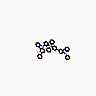 c1ccc(-n2c3ccccc3c3cc(-c4ccc([Si](c5ccccc5)(c5ccccc5)c5cccc(-n6c7ccccc7c7c8oc9ccccc9c8ccc76)c5)cc4)ccc32)cc1